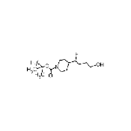 CC(C)(C)OC(=O)N1CCC(C(F)CCCO)CC1